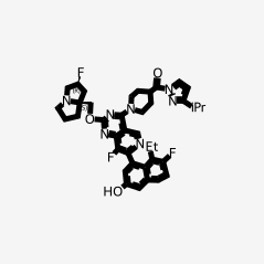 CCc1c(F)ccc2cc(O)cc(-c3ncc4c(N5CCC(C(=O)n6ccc(C(C)C)n6)CC5)nc(OC[C@@]56CCCN5C[C@H](F)C6)nc4c3F)c12